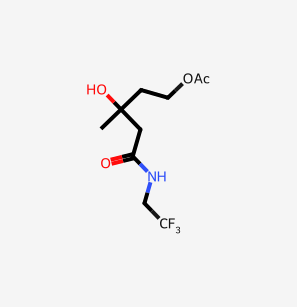 CC(=O)OCCC(C)(O)CC(=O)NCC(F)(F)F